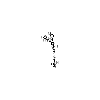 CC(=O)N1CCCC(c2nc(Nc3cccc(F)c3)cc(-c3ccc(NC(=O)COCCOCCOCCNC(=O)OC(C)(C)C)cc3)n2)C1